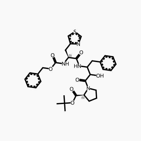 CC(C)(C)OC(=O)[C@@H]1CCCN1C(=O)C(O)C(Cc1ccccc1)NC(=O)[C@H](Cc1cscn1)NC(=O)OCc1ccccc1